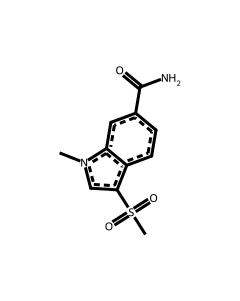 Cn1cc(S(C)(=O)=O)c2ccc(C(N)=O)cc21